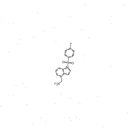 NCc1cccc2c1ccn2S(=O)(=O)c1ccc(F)cc1